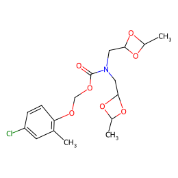 Cc1cc(Cl)ccc1OCOC(=O)N(CC1OC(C)O1)CC1OC(C)O1